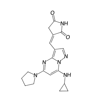 O=C1CC(=Cc2cnn3c(NC4CC4)cc(N4CCCC4)nc23)C(=O)N1